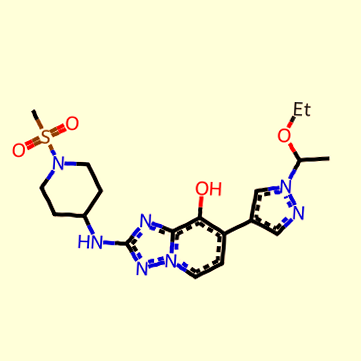 CCOC(C)n1cc(-c2ccn3nc(NC4CCN(S(C)(=O)=O)CC4)nc3c2O)cn1